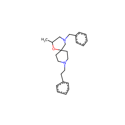 CC1CN(Cc2ccccc2)CC2(CCN(CCc3ccccc3)CC2)O1